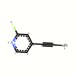 CCCC#Cc1ccnc(F)c1